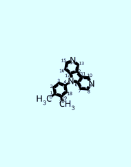 Cc1ccc(-n2c3ccncc3c3cnccc32)cc1C